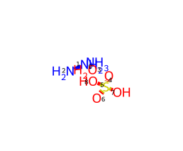 N.NN.O.O=S(=O)(O)O